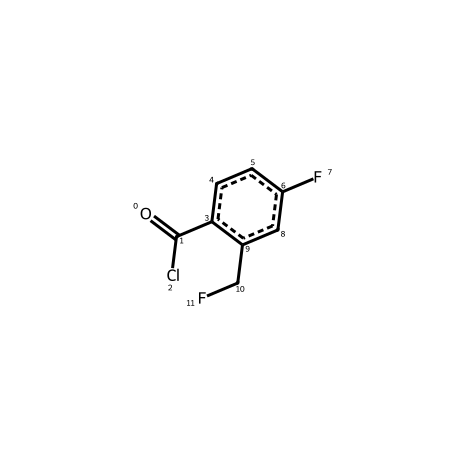 O=C(Cl)c1ccc(F)cc1CF